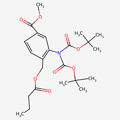 CCCC(=O)OCc1ccc(C(=O)OC)cc1N(C(=O)OC(C)(C)C)C(=O)OC(C)(C)C